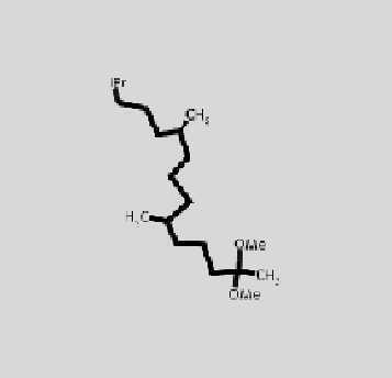 COC(C)(CCCC(C)CCC[C@H](C)CCCC(C)C)OC